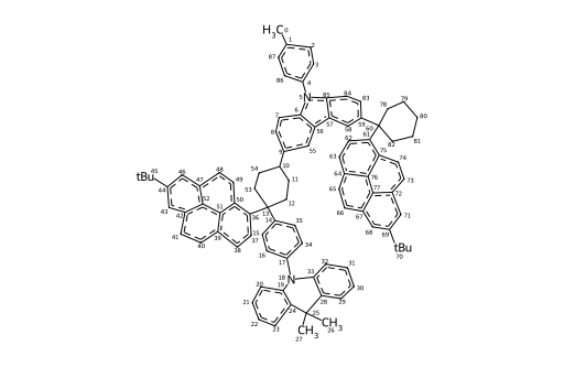 Cc1ccc(-n2c3ccc(C4CCC(c5ccc(N6c7ccccc7C(C)(C)c7ccccc76)cc5)(c5ccc6ccc7cc(C(C)(C)C)cc8ccc5c6c78)CC4)cc3c3cc(C4(c5ccc6ccc7cc(C(C)(C)C)cc8ccc5c6c78)CCCCC4)ccc32)cc1